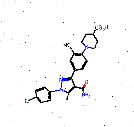 Cc1c(C(N)=O)c(-c2ccc(N3CCC(C(=O)O)CC3)c(C#N)c2)nn1-c1ccc(Cl)cc1